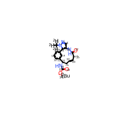 [2H]C([2H])([2H])n1ncc2c1-c1cccc(c1)[C@@H](NC(=O)OC(C)(C)C)C/C=C/[C@@H](C)C(=O)N2